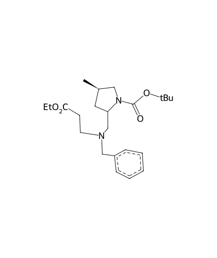 CCOC(=O)CCN(Cc1ccccc1)CC1C[C@@H](C)CN1C(=O)OC(C)(C)C